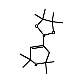 CC1(C)C=C(B2OC(C)(C)C(C)(C)O2)CC(C)(C)S1